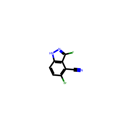 N#Cc1c(Br)ccc2[nH]nc(F)c12